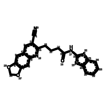 N#Cc1cc2cc3c(cc2nc1CCCC(=O)Nc1nc2ccccc2s1)OCO3